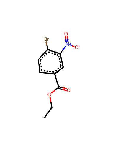 CCOC(=O)c1ccc(Br)c([N+](=O)[O-])c1